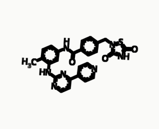 Cc1ccc(NC(=O)c2ccc(Cn3sc(=O)[nH]c3=O)cc2)cc1Nc1nccc(-c2ccncc2)n1